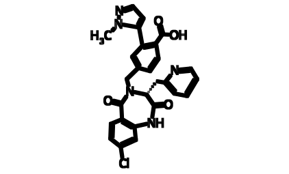 Cn1nccc1-c1cc(CN2C(=O)c3ccc(Cl)cc3NC(=O)[C@H]2Cc2ccccn2)ccc1C(=O)O